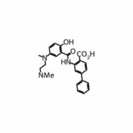 CNCCN(C)c1ccc(O)c(C(=O)Nc2cc(-c3ccccc3)ccc2C(=O)O)c1